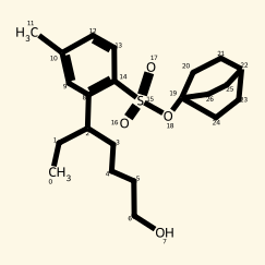 CCC(CCCCO)c1cc(C)ccc1S(=O)(=O)OC12CCC(CC1)CC2